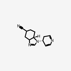 N#CC1CC[C@H]2C(C1)N=CN2[C@H]1C=CN=CC1